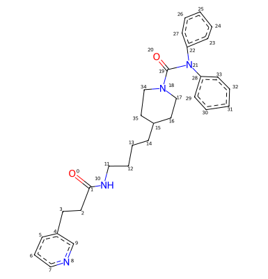 O=C(CCc1cccnc1)NCCCCC1CCN(C(=O)N(c2ccccc2)c2ccccc2)CC1